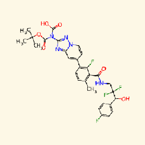 Cc1ccc(-c2ccn3nc(N(C(=O)O)C(=O)OC(C)(C)C)nc3c2)c(F)c1C(=O)NCC(F)(F)C(O)c1ccc(F)cc1